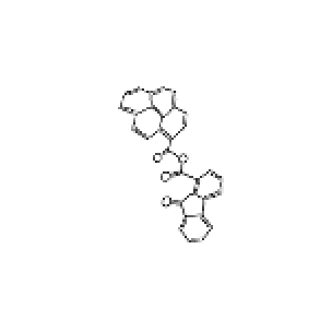 O=C(OC(=O)c1ccc2ccc3cccc4ccc1c2c34)c1cccc2c1C(=O)c1ccccc1-2